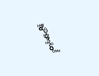 COc1ccc(CC(=O)NCc2cc3nc(N4CCOC(c5cccc6[nH]ncc56)C4)ncc3s2)cc1